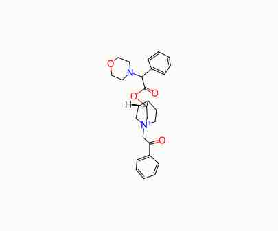 O=C(C[N+]12CCC(CC1)[C@@H](OC(=O)C(c1ccccc1)N1CCOCC1)C2)c1ccccc1